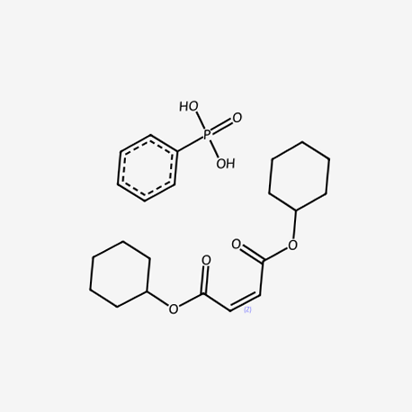 O=C(/C=C\C(=O)OC1CCCCC1)OC1CCCCC1.O=P(O)(O)c1ccccc1